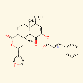 CC12CCC3C(=O)OC(c4ccoc4)CC3(C)C1C(=O)C(OC(=O)/C=C/c1ccccc1)=CC2C(=O)O